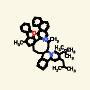 C=C1CC2C(CCc3cc(C)c4c(oc5ccccc54)c3-c3cc4c(ccc5ccccc54)c[n+]31)c1ccccc1-c1cc(CC(C)C)c([Si](C)(C)C)c[n+]12